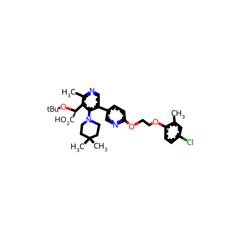 Cc1cc(Cl)ccc1OCCOc1ccc(-c2cnc(C)c([C@H](OC(C)(C)C)C(=O)O)c2N2CCC(C)(C)CC2)cn1